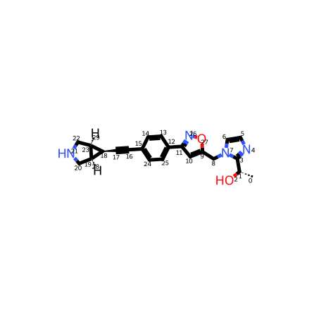 C[C@H](O)c1nccn1Cc1cc(-c2ccc(C#C[C@H]3[C@H]4CNC[C@@H]34)cc2)no1